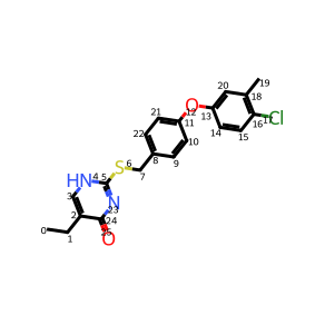 CCc1c[nH]c(SCc2ccc(Oc3ccc(Cl)c(C)c3)cc2)nc1=O